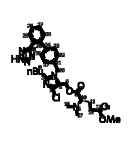 CCCCc1nc(Cl)c(COC(=O)[C@H](CCC(=O)OC)N(C)C)n1Cc1ccc(-c2ccccc2-c2nn[nH]n2)cc1